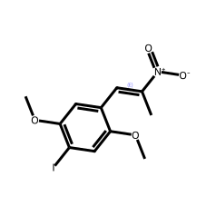 COc1cc(/C=C(\C)[N+](=O)[O-])c(OC)cc1I